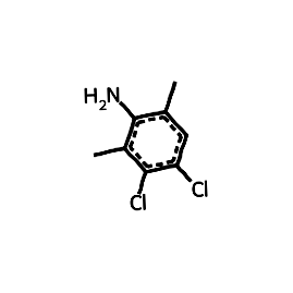 Cc1cc(Cl)c(Cl)c(C)c1N